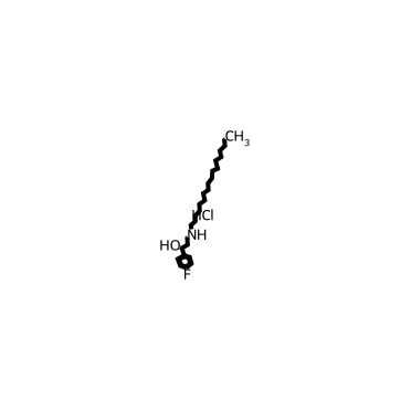 CCCCCCCCCCCCCCCCCCNCCC(O)c1ccc(F)cc1.Cl